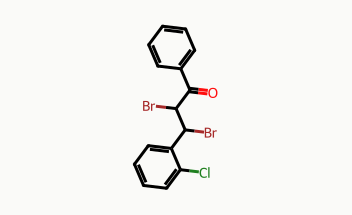 O=C(c1ccccc1)C(Br)C(Br)c1ccccc1Cl